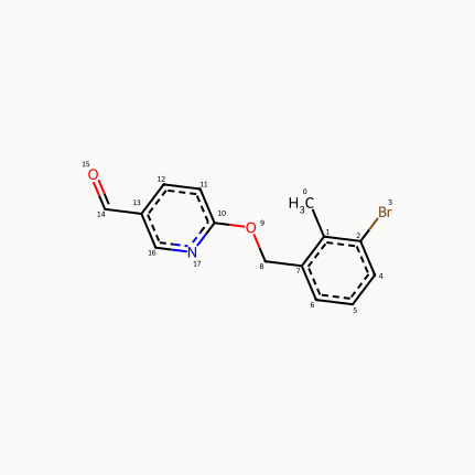 Cc1c(Br)cccc1COc1ccc(C=O)cn1